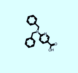 O=C(O)c1ccc(N(Cc2ccccc2)Cc2ccccc2)nc1